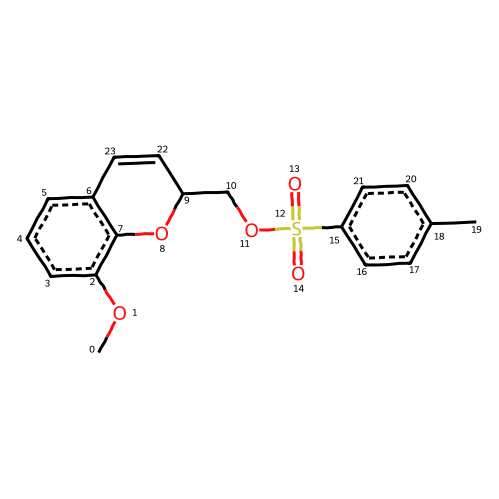 COc1cccc2c1OC(COS(=O)(=O)c1ccc(C)cc1)C=C2